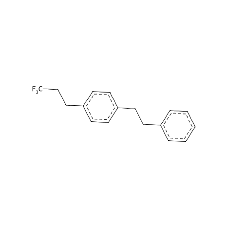 FC(F)(F)CCc1ccc(CCc2ccccc2)cc1